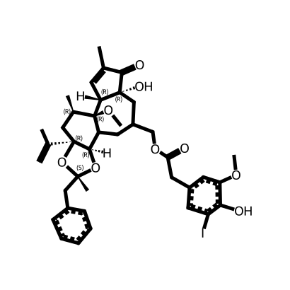 C=C(C)[C@]12C[C@@H](C)[C@@]3(OC)C(CC(COC(=O)Cc4cc(I)c(O)c(OC)c4)C[C@]4(O)C(=O)C(C)=C[C@@H]34)[C@H]1O[C@](C)(Cc1ccccc1)O2